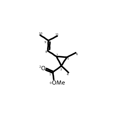 COC(=O)C1(C)C(C)C1C=C(C)C